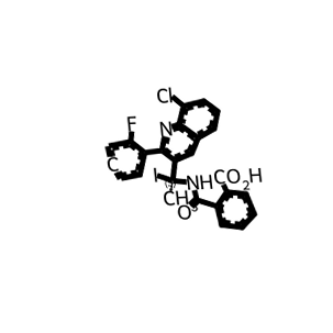 C[C@@](I)(NC(=O)c1ccccc1C(=O)O)c1cc2cccc(Cl)c2nc1-c1ccccc1F